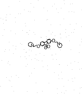 O=S1(=O)c2cc(OCCN3CCCCC3)ccc2-c2ccc(OCCN3CCCCC3)cc21